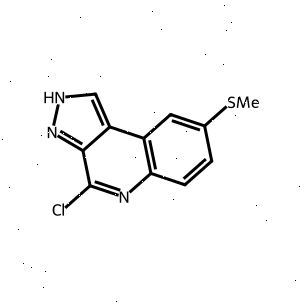 CSc1ccc2nc(Cl)c3n[nH]cc3c2c1